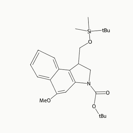 COc1cc2c(c3ccccc13)C(CO[Si](C)(C)C(C)(C)C)CN2C(=O)OC(C)(C)C